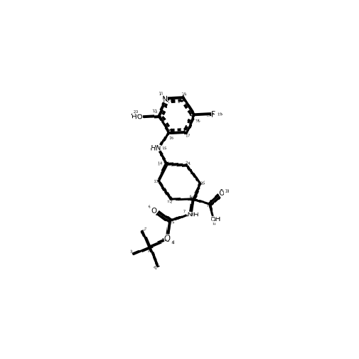 CC(C)(C)OC(=O)NC1(C(=O)O)CCC(Nc2cc(F)cnc2O)CC1